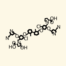 Cc1c(COc2cc(OCc3cncc(C#N)c3)c(CN3CCCC3C(=O)O)cc2Cl)cccc1-c1cccc(COc2cc(OCc3cncc(C#N)c3)c(CN3C[C@@H](O)C[C@H]3C(=O)O)cc2Cl)c1C